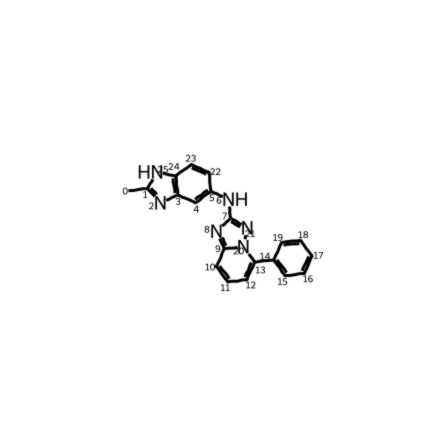 Cc1nc2cc(Nc3nc4cccc(-c5ccccc5)n4n3)ccc2[nH]1